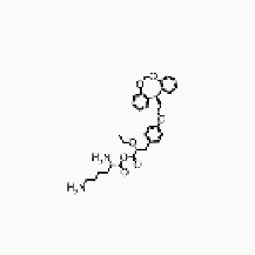 CCOC(Cc1ccc(OCC=C2c3ccccc3OCOc3ccccc32)cc1)C(=O)OC(=O)[C@@H](N)CCCCN